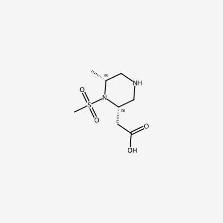 C[C@@H]1CNC[C@H](CC(=O)O)N1S(C)(=O)=O